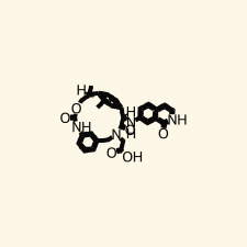 Cc1cc2ccc1[C@@H](C)COC(=O)Nc1cccc(c1)CN(CC(=O)O)C(=O)[C@@H]2Nc1ccc2cc[nH]c(=O)c2c1